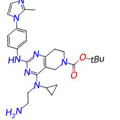 Cc1nccn1-c1ccc(Nc2nc3c(c(N(CCN)C4CC4)n2)CN(C(=O)OC(C)(C)C)CC3)cc1